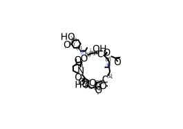 CO[C@H]1C[C@@H](C)C/C(C)=C/[C@@H](CC2CO2)C(=O)C[C@H](O)[C@@H](C)[C@@H](/C(C)=C/[C@@H]2CC[C@@H](O)[C@H](OC)C2)OC(=O)[C@@H]2CCCCN2C(=O)C(=O)[C@]2(O)O[C@H]1[C@@H](OC)C[C@H]2C